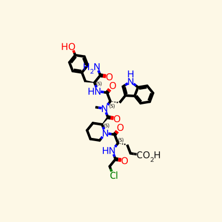 CN(C(=O)[C@@H]1CCCCN1C(=O)[C@H](CCC(=O)O)NC(=O)CCl)[C@@H](Cc1c[nH]c2ccccc12)C(=O)N[C@@H](Cc1ccc(O)cc1)C(N)=O